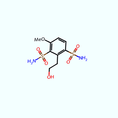 COc1ccc(S(N)(=O)=O)c(CCO)c1S(N)(=O)=O